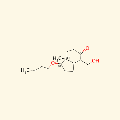 CCCCO[C@@H]1CCC2C(CO)C(=O)CC[C@]21C